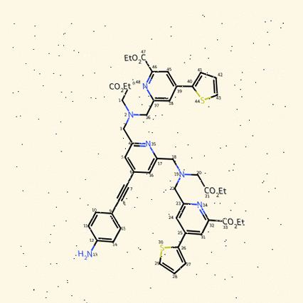 CCOC(=O)CN(Cc1cc(C#Cc2ccc(N)cc2)cc(CN(CC(=O)OCC)Cc2cc(-c3cccs3)cc(C(=O)OCC)n2)n1)Cc1cc(-c2cccs2)cc(C(=O)OCC)n1